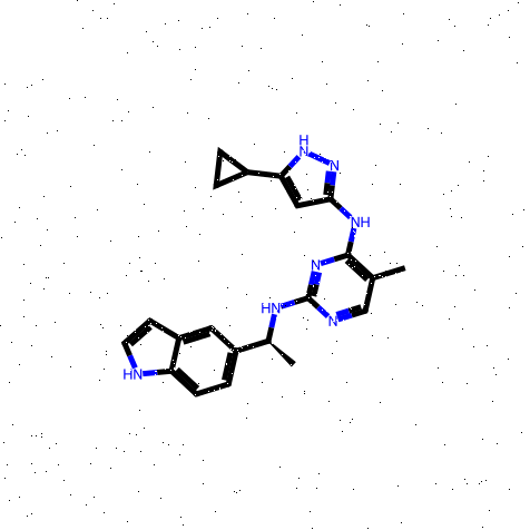 Cc1cnc(N[C@@H](C)c2ccc3[nH]ccc3c2)nc1Nc1cc(C2CC2)[nH]n1